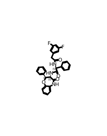 O=C(Cc1cc(F)cc(F)c1)N[C@H](C(=O)N[C@@H]1C(=O)Nc2ccccc2O[C@H]1c1ccccc1)c1ccccc1